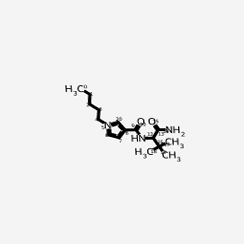 CCCCCn1ccc(C(=O)NC(C(N)=O)C(C)(C)C)c1